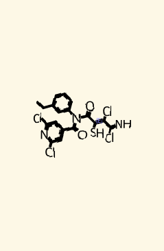 CCc1cccc(N(C(=O)/C(S)=C(\Cl)C(=N)Cl)C(=O)c2cc(Cl)nc(Cl)c2)c1